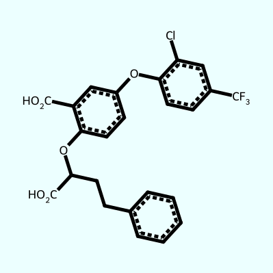 O=C(O)c1cc(Oc2ccc(C(F)(F)F)cc2Cl)ccc1OC(CCc1ccccc1)C(=O)O